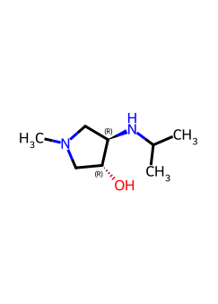 CC(C)N[C@@H]1CN(C)C[C@H]1O